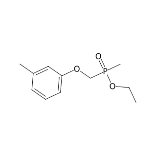 CCOP(C)(=O)COc1cccc(C)c1